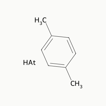 Cc1ccc(C)cc1.[AtH]